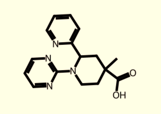 CC1(C(=O)O)CCN(c2ncccn2)C(c2ccccn2)C1